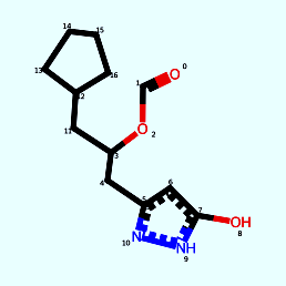 O=COC(Cc1cc(O)[nH]n1)CC1CCCC1